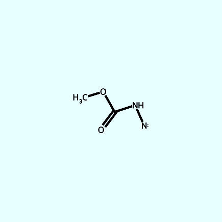 COC(=O)N[N]